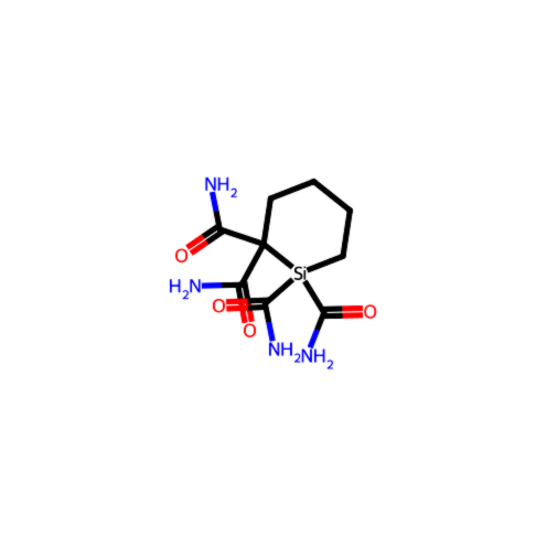 NC(=O)C1(C(N)=O)CCCC[Si]1(C(N)=O)C(N)=O